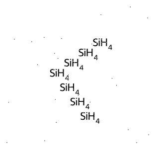 [SiH4].[SiH4].[SiH4].[SiH4].[SiH4].[SiH4].[SiH4]